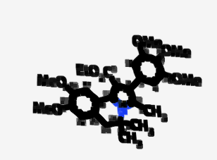 CCOC(=O)c1c(-c2cc(OC)c(OC)c(OC)c2)c(C)n2c1-c1cc(OC)c(OC)cc1CC2(C)C